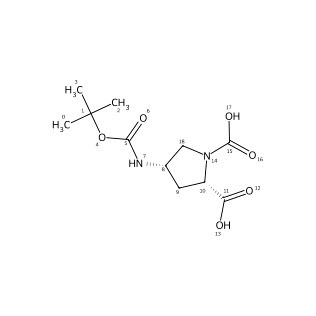 CC(C)(C)OC(=O)N[C@H]1C[C@@H](C(=O)O)N(C(=O)O)C1